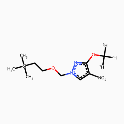 [2H]C([2H])([2H])Oc1nn(COCC[Si](C)(C)C)cc1[N+](=O)[O-]